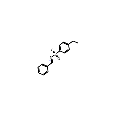 CCc1ccc(S(=O)(=O)/N=C/c2ccccc2)cc1